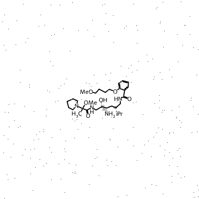 COCCCCOc1ccccc1C(=O)NC[C@@H](C[C@H](N)[C@@H](O)CNC(=O)C(C)(OC)N1CCCCC1)C(C)C